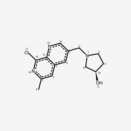 Cc1cc2cc(CN3CC[C@@H](O)C3)cnc2c(Cl)n1